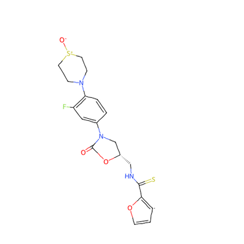 O=C1O[C@@H](CNC(=S)c2[c]cco2)CN1c1ccc(N2CC[S+]([O-])CC2)c(F)c1